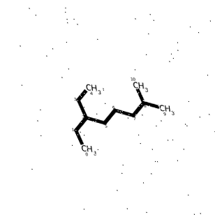 CC[C](CC)CCCC(C)C